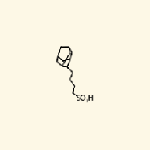 O=S(=O)(O)CCCCC1C2CC3CC(C2)CC1C3